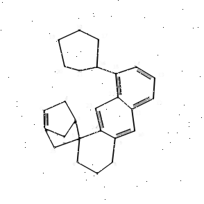 C1=C2CC(C1)C1(CCCc3cc4cccc(C5CCCCC5)c4cc31)C2